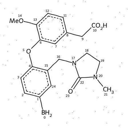 Bc1ccc(Oc2cc(CC(=O)O)ccc2OC)c(CN2CCN(C)C2=O)c1